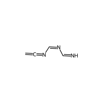 C=C=N/C=N\C=N